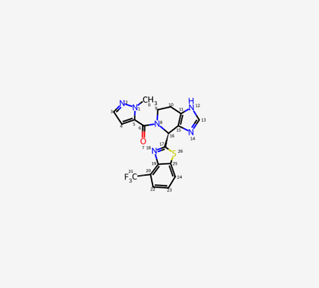 Cn1nccc1C(=O)N1CCc2[nH]cnc2[C@H]1c1nc2c(C(F)(F)F)cccc2s1